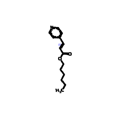 CCCCCCOC(=O)/C=C/c1ccncc1